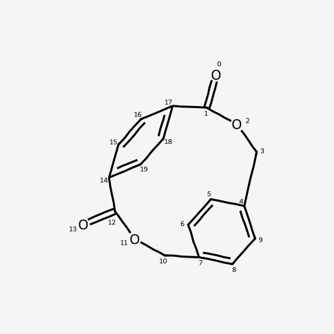 O=C1OCc2ccc(cc2)COC(=O)c2ccc1cc2